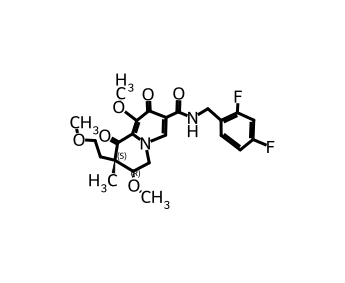 COCC[C@]1(C)C(=O)c2c(OC)c(=O)c(C(=O)NCc3ccc(F)cc3F)cn2C[C@@H]1OC